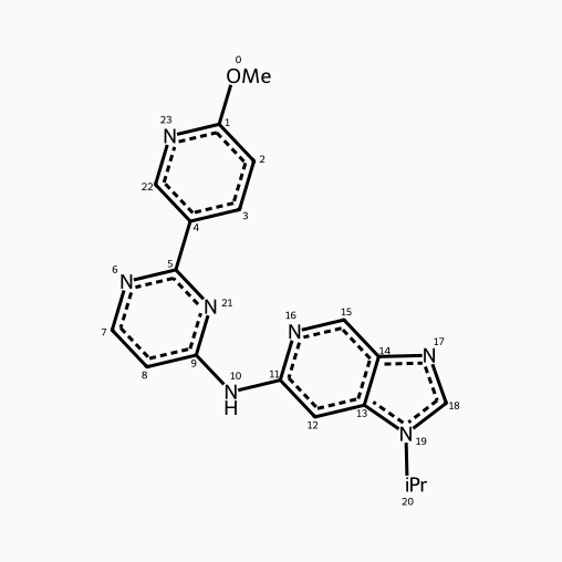 COc1ccc(-c2nccc(Nc3cc4c(cn3)ncn4C(C)C)n2)cn1